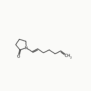 C=CCCCC=CN1CCCC1=O